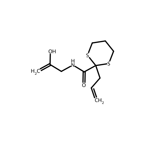 C=CCC1(C(=O)NCC(=C)O)SCCCS1